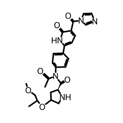 COCC(C)OC1CN[C@H](C(=O)N(C(C)=O)c2ccc(-c3ccc(C(=O)n4ccnc4)c(=O)[nH]3)cc2)C1